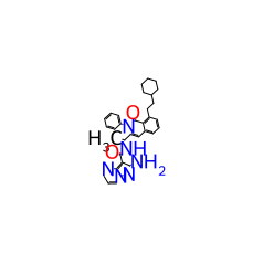 C[C@H](NC(=O)c1c(N)nn2cccnc12)c1cc2cccc(CCC3CCCCC3)c2c(=O)n1-c1ccccc1